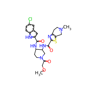 COCC(=O)N1CCC(NC(=O)c2cc3cc(Cl)ccc3[nH]2)C(NC(=O)c2nc3c(s2)CN(C)CC3)C1